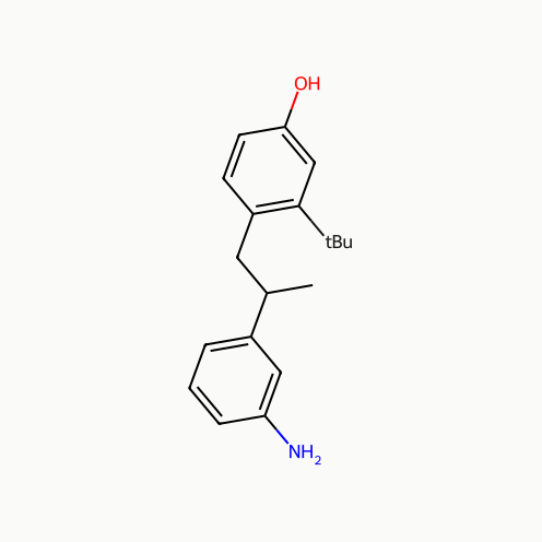 CC(Cc1ccc(O)cc1C(C)(C)C)c1cccc(N)c1